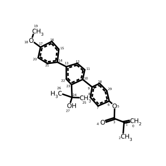 C=C(C)C(=O)Oc1ccc(-c2ccc(-c3ccc(OC)cc3)cc2C(C)(C)O)cc1